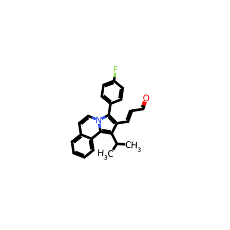 CC(C)c1c(/C=C/C=O)c(-c2ccc(F)cc2)n2ccc3ccccc3c12